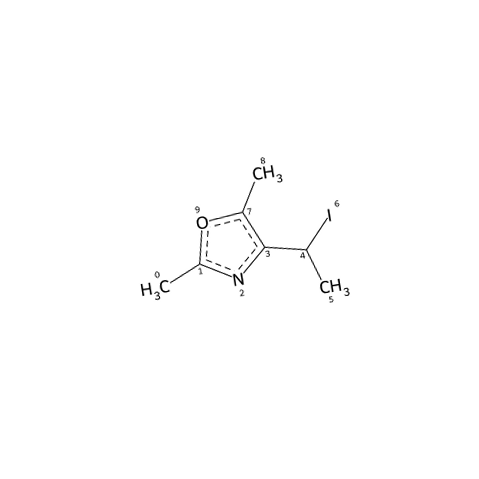 Cc1nc(C(C)I)c(C)o1